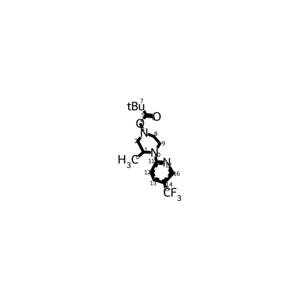 CC1CN(OC(=O)C(C)(C)C)CCN1c1ccc(C(F)(F)F)cn1